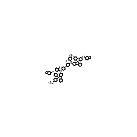 CC(C)(C)c1ccc(C2(c3ccc(Oc4ccc5c(c4)CC5)cc3)c3ccccc3-c3ccc(N(c4ccc(-c5ccc(N(c6ccc7c(c6)C(c6ccc(Oc8ccc9c(c8)CC9)cc6)(c6ccc(C(C)(C)C)cc6)c6ccccc6-7)c6ccccc6F)cc5)cc4)c4ccccc4F)cc32)cc1